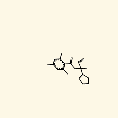 Cc1cc(C)c(C(=O)CC(C)(P=O)C2CCCC2)c(C)c1